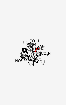 CSCC[C@H](NC(=O)[C@H](CCC(=O)O)NC(=O)[C@H](CC(=O)O)NC(=O)[C@H](CO)NC(=O)[C@H](Cc1ccccc1)NC(=O)[C@@H](N)CO)C(=O)N[C@@H](CC(N)=O)C(=O)N[C@H](C(=O)O)[C@@H](C)O